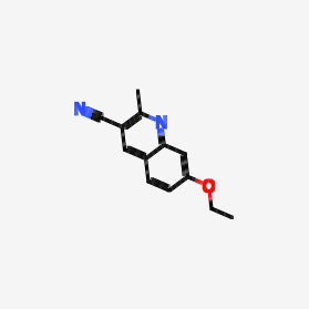 CCOc1ccc2cc(C#N)c(C)nc2c1